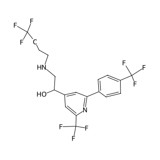 OC(CNCCCC(F)(F)F)c1cc(-c2ccc(C(F)(F)F)cc2)nc(C(F)(F)F)c1